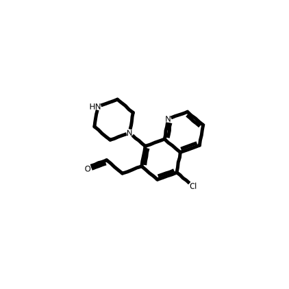 O=CCc1cc(Cl)c2cccnc2c1N1CCNCC1